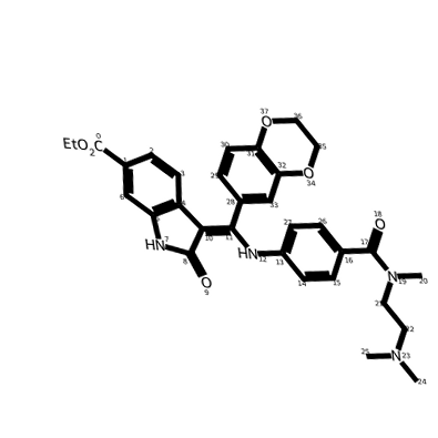 CCOC(=O)c1ccc2c(c1)NC(=O)/C2=C(\Nc1ccc(C(=O)N(C)CCN(C)C)cc1)c1ccc2c(c1)OCCO2